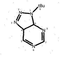 CC(C)(C)N1N=NC2C=NC=NC21